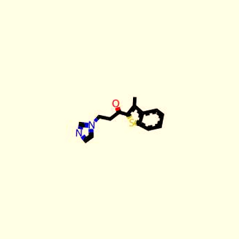 Cc1c(C(=O)CCn2ccnc2)sc2ccccc12